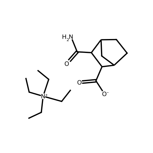 CC[N+](CC)(CC)CC.NC(=O)C1C2CCC(C2)C1C(=O)[O-]